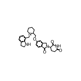 O=C1CCC(N2Cc3cc(OCC4CCCCN4Cc4cccc5c4NCC5)ccc3C2=O)C(=O)N1